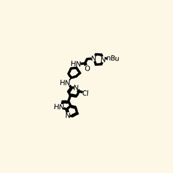 CCCCN1CCN(CC(=O)N[C@H]2CC[C@H](Nc3cc(-c4c[nH]c5ncccc45)cc(Cl)n3)CC2)CC1